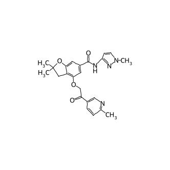 Cc1ccc(C(=O)COc2cc(C(=O)Nc3ccn(C)n3)cc3c2CC(C)(C)O3)cn1